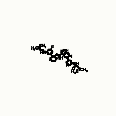 CN(C)CCNc1cc(F)cc(-c2nccc3[nH]c(-c4n[nH]c5cc(I)c(-c6cncc(NC(=O)CN(C)C)c6)cc45)cc23)c1